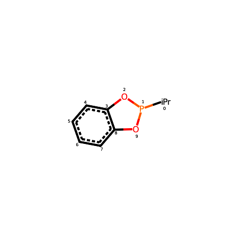 CC(C)P1Oc2ccccc2O1